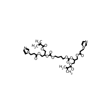 C=C(C)C(=O)OCC(COC(=O)CCn1ccnc1)OC(=O)OCCCCOC(=O)OC(COC(=O)CCn1ccnc1)COC(=O)C(=C)C